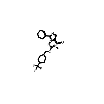 Cn1c(OCC2CCC(C(F)(F)F)CC2)nn2c(C3=CCCCC3)ncc2c1=O